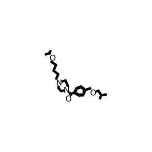 CC(C)COCc1ccc(C(=O)N2CCN(CCCCCOC(C)C)CC2)cc1